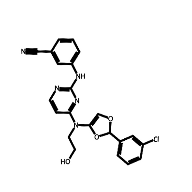 N#Cc1cccc(Nc2nccc(N(CCO)C3=COC(c4cccc(Cl)c4)O3)n2)c1